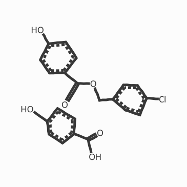 O=C(O)c1ccc(O)cc1.O=C(OCc1ccc(Cl)cc1)c1ccc(O)cc1